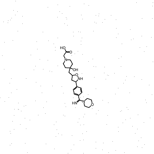 N=C(c1ccc(C2CC(CC3(O)CCN(CC(=O)O)CC3)ON2)cc1)N1CCOCC1